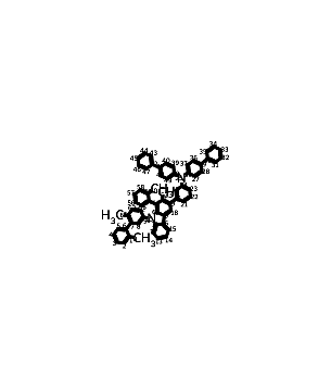 Cc1ccccc1-c1cc(-n2c3ccccc3c3cc(-c4cccc(N(c5ccc(-c6ccccc6)cc5)c5ccc(-c6ccccc6)cc5)c4)c(C)c(-c4ccccc4C)c32)ccc1C